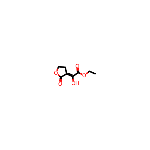 CCOC(=O)/C(O)=C1\CCOC1=O